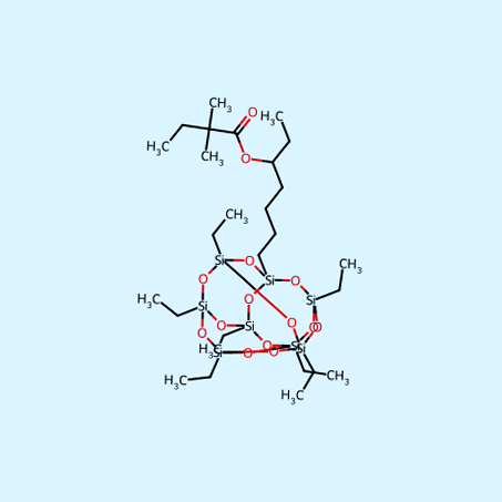 CCC(CCCC[Si]12O[Si]3(CC)O[Si]4(CC)O[Si]5(CC)O[Si](CC)(O3)O[Si](CC)(O[Si](CC)(O5)O[Si](CC)(O4)O1)O2)OC(=O)C(C)(C)CC